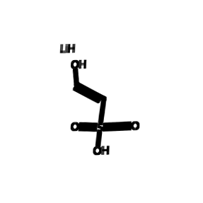 O=S(=O)(O)C=CO.[LiH]